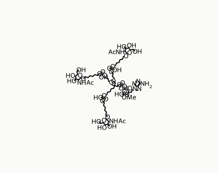 COP(=O)(O)OC1C[C@H](n2cnc3c(N)ncnc32)O[C@@H]1COP(=O)(O)OCC(CCCCCOP(=O)(O)OCCCCCCO[C@@H]1OC(CO)[C@H](O)C(O)[C@@H]1NC(C)=O)(COCCCOP(=O)(O)OCCCCCCO[C@@H]1OC(CO)[C@H](O)C(O)[C@@H]1NC(C)=O)COCCCOP(=O)(O)OCCCCCCO[C@@H]1OC(CO)[C@H](O)C(O)[C@@H]1NC(C)=O